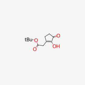 CC(C)(C)OC(=O)CC1=C(O)C(=O)CC1